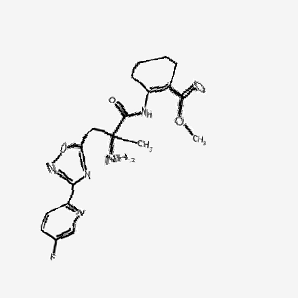 COC(=O)C1=C(NC(=O)C(C)(N)Cc2nc(-c3ccc(F)cn3)no2)CCCC1